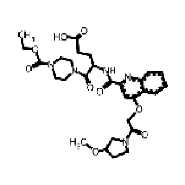 CCOC(=O)N1CCN(C(=O)C(CCC(=O)O)NC(=O)c2cc(OCC(=O)N3CCC(OC)C3)c3ccccc3n2)CC1